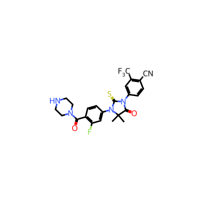 CC1(C)C(=O)N(c2ccc(C#N)c(C(F)(F)F)c2)C(=S)N1c1ccc(C(=O)N2CCNCC2)c(F)c1